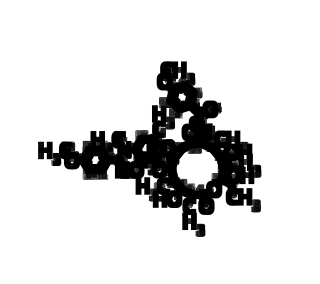 CC[C@H]1OC(=O)[C@H](C)[C@@H](O)[C@H](C)[C@@H](O[C@@H]2O[C@H](C)C[C@H](N(C)C(=O)c3ccc(OC)cc3)[C@H]2O)C(C)(O)C[C@@H](C)/C(=N\OC(=O)c2ccc(OC)cc2)[C@H](C)[C@@H](O)[C@]1(C)O